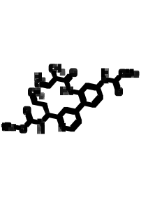 C=CC[C@H](NC(=O)OC(C)(C)C)c1cc(-c2ccc(NC(=O)OC)cc2NC(=O)[C@H](C)C=C)ccn1